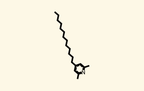 CCCCCCCCCCCCCc1cc(C)nc(C)c1